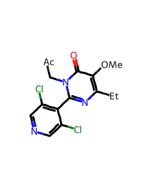 CCc1nc(-c2c(Cl)cncc2Cl)n(CC(C)=O)c(=O)c1OC